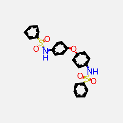 O=S(=O)(Nc1ccc(Oc2ccc(NS(=O)(=O)c3ccccc3)cc2)cc1)c1ccccc1